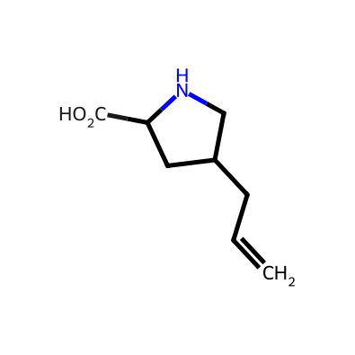 C=CCC1CNC(C(=O)O)C1